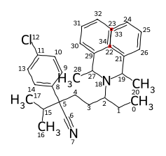 CCC(CCC(C#N)(c1ccc(Cl)cc1)C(C)C)N(C(C)c1ccccc1)C(C)c1ccccc1